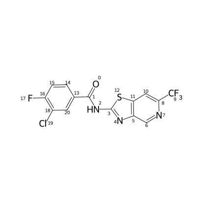 O=C(Nc1nc2cnc(C(F)(F)F)cc2s1)c1ccc(F)c(Cl)c1